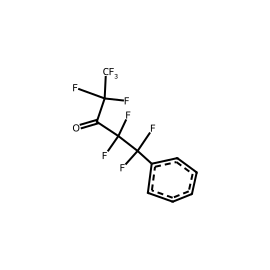 O=C(C(F)(F)C(F)(F)F)C(F)(F)C(F)(F)c1ccccc1